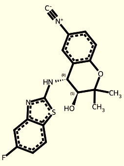 [C-]#[N+]c1ccc2c(c1)[C@@H](Nc1nc3cc(F)ccc3s1)[C@H](O)C(C)(C)O2